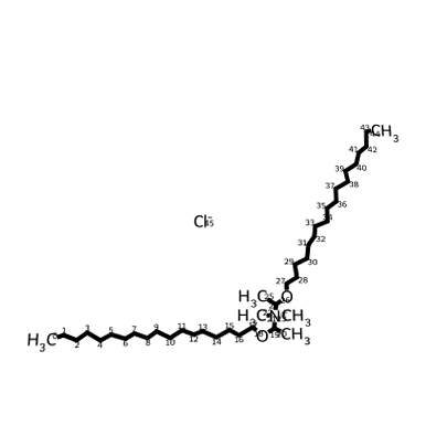 CCCCCCCCCCCCCCCCCCOC(C)[N+](C)(C)C(C)OCCCCCCCCCCCCCCCCCC.[Cl-]